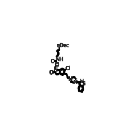 CCCCCCCCCCCCCCNC(=O)OCN1C(=O)Cc2cc(CCN3CCN(c4nsc5ccccc45)CC3)c(Cl)cc21